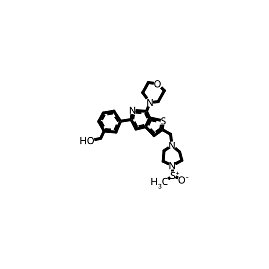 C[S+]([O-])N1CCN(Cc2cc3cc(-c4cccc(CO)c4)nc(N4CCOCC4)c3s2)CC1